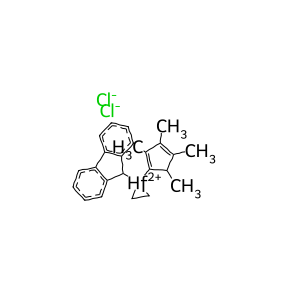 CC1=C(C)C(C)[C]([Hf+2]2([CH]3c4ccccc4-c4ccccc43)[CH2][CH2]2)=C1C.[Cl-].[Cl-]